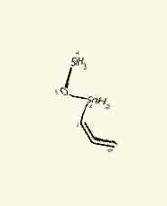 C=[CH][SnH2][O][SiH3]